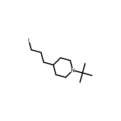 CC(C)(C)N1CCC(CCCI)CC1